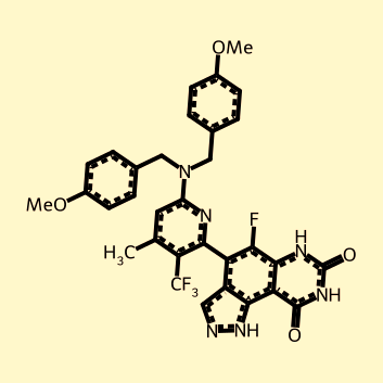 COc1ccc(CN(Cc2ccc(OC)cc2)c2cc(C)c(C(F)(F)F)c(-c3c(F)c4[nH]c(=O)[nH]c(=O)c4c4[nH]ncc34)n2)cc1